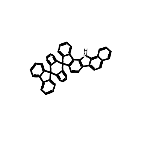 c1ccc2c(c1)-c1ccccc1C21c2ccccc2C2(c3ccccc3-c3c2ccc2c3[nH]c3c4ccccc4ccc23)c2ccccc21